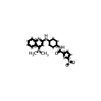 CN(C)c1cc(NC2CCC(NC(=O)c3ccc([N+](=O)[O-])s3)CC2)nc2ccccc12